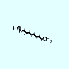 CCCCCCC=CC=NO